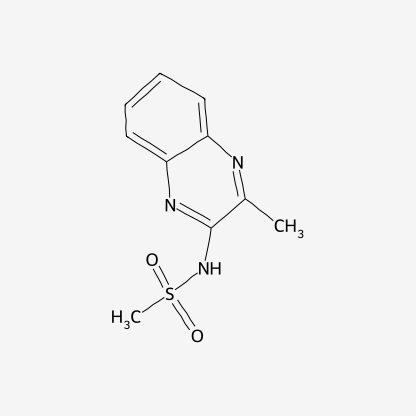 Cc1nc2ccccc2nc1NS(C)(=O)=O